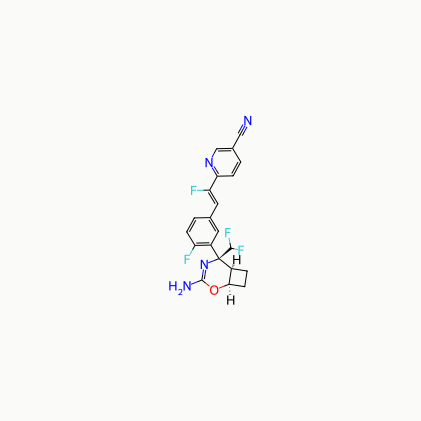 N#Cc1ccc(/C(F)=C/c2ccc(F)c([C@@]3(C(F)F)N=C(N)O[C@@H]4CC[C@@H]43)c2)nc1